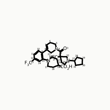 CC1(C(=O)N2CCC=C(c3ccc(C(F)(F)F)cc3N3CCC(C(=O)O)CC3)C2)CCN(C2CCCC2)C1